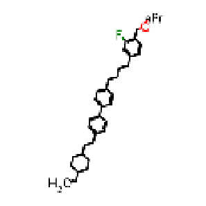 C=CC1CCC(CCc2ccc(-c3ccc(CCCCc4ccc(COCCC)c(F)c4)cc3)cc2)CC1